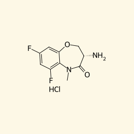 CN1C(=O)[C@@H](N)COc2cc(F)cc(F)c21.Cl